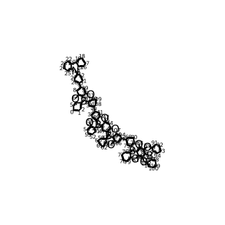 c1ccc2c(c1)Oc1cc(-c3ccc(-n4c5ccccc5c5ccccc54)cc3)cc3c1B2c1cc(-c2cc4c5c(c2)Oc2cc6c(cc2B5c2ccccc2O4)B2c4ccccc4Oc4cc(-c5ccc7c(c5)B5c8ccccc8Oc8c9c%10c(c(c85)O7)Oc5ccccc5B%10c5ccccc5O9)cc(c42)O6)ccc1O3